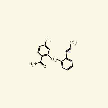 NC(=O)c1ccc(C(F)(F)F)cc1C(F)(F)F.O=S(=O)(O)/C=C/c1ccccc1Cl